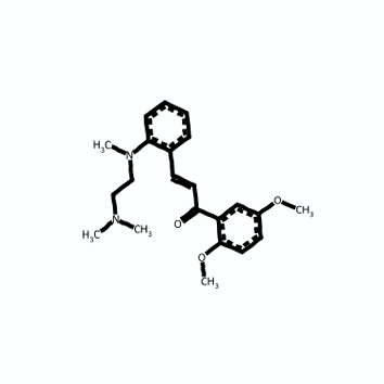 COc1ccc(OC)c(C(=O)/C=C/c2ccccc2N(C)CCN(C)C)c1